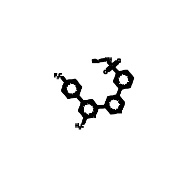 Cc1cc(-c2ccc(C(F)(F)F)cc2)cc(-c2cncc(-c3cccc(S(=O)(=O)NC(C)(C)C)c3)c2)n1